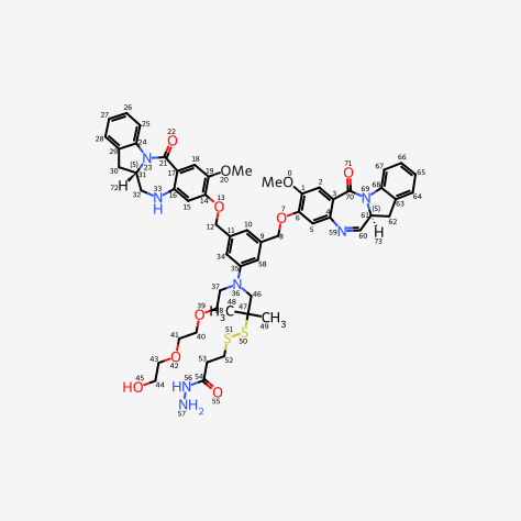 COc1cc2c(cc1OCc1cc(COc3cc4c(cc3OC)C(=O)N3c5ccccc5C[C@H]3CN4)cc(N(CCOCCOCCO)CC(C)(C)SSCCC(=O)NN)c1)N=C[C@@H]1Cc3ccccc3N1C2=O